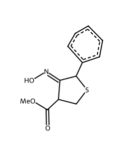 COC(=O)C1CSC(c2ccccc2)C1=NO